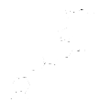 C=C(CCNC(=O)COc1ccc(Cl)c(F)c1)c1nnc([C@@H]2C[C@H]2COC(F)(F)F)o1